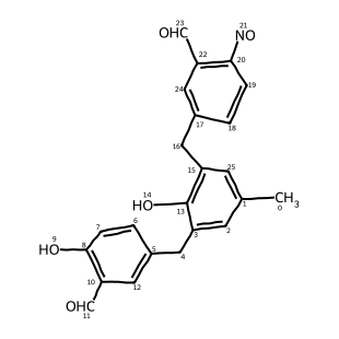 Cc1cc(Cc2ccc(O)c(C=O)c2)c(O)c(Cc2ccc(N=O)c(C=O)c2)c1